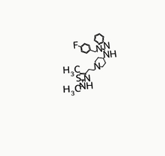 CNc1nc(CCN2CCC(Nc3nc4ccccc4n3Cc3ccc(F)cc3)CC2)c(C)s1